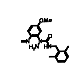 C=Nc1ccc(OC)cc1N(N)C(=O)NCc1c(C)cccc1C